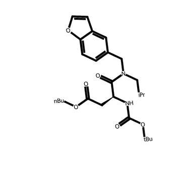 CCCCOC(=O)C[C@H](NC(=O)OC(C)(C)C)C(=O)N(Cc1ccc2occc2c1)CC(C)C